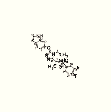 CCn1c(Oc2ccc3cc[nH]c3c2)nnc1[C@@H](C)NS(=O)(=O)c1ccc(F)c(F)c1